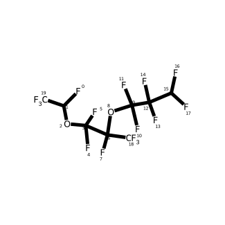 FC(OC(F)(F)C(F)(OC(F)(F)C(F)(F)C(F)F)C(F)(F)F)C(F)(F)F